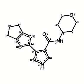 O=C(NC1CCOCC1)c1c[nH]nc1-c1nc2c(s1)CCC2